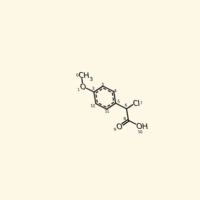 COc1ccc(C(Cl)C(=O)O)cc1